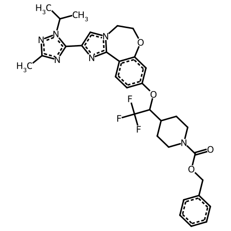 Cc1nc(-c2cn3c(n2)-c2ccc(OC(C4CCN(C(=O)OCc5ccccc5)CC4)C(F)(F)F)cc2OCC3)n(C(C)C)n1